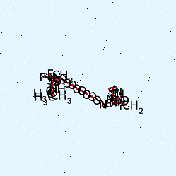 C=C(F)C(=O)N1CCN(c2nc(OC[C@@H]3CCCN3CCCOCCOCCOCCOCCOCCOCCOCCOCCN(C)C(=O)N3N=C(c4cc(F)ccc4F)S[C@@]3(CCCNC(=O)OC(C)(C)C)c3ccccc3)nc3c2CCN(c2cccc4cccc(Cl)c24)C3)C[C@@H]1CC#N